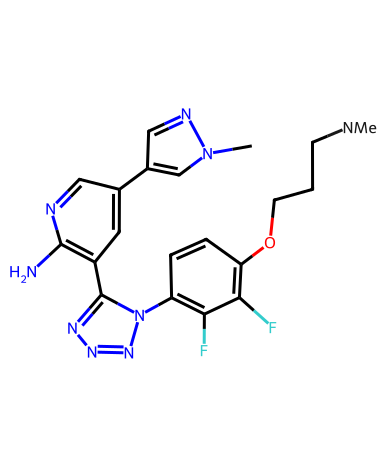 CNCCCOc1ccc(-n2nnnc2-c2cc(-c3cnn(C)c3)cnc2N)c(F)c1F